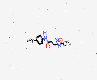 CC(C)c1ccc(NC(=O)CCc2noc(C(F)(F)F)n2)cc1